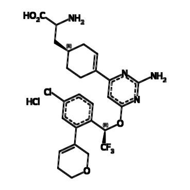 Cl.Nc1nc(O[C@H](c2ccc(Cl)cc2C2=CCCOC2)C(F)(F)F)cc(C2=CC[C@H](CC(N)C(=O)O)CC2)n1